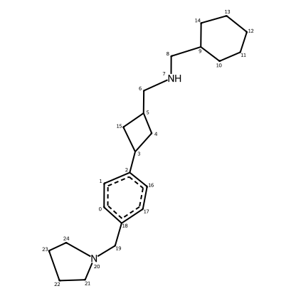 c1cc(C2CC(CNCC3CCCCC3)C2)ccc1CN1CCCC1